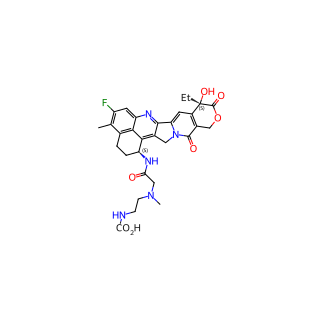 CC[C@@]1(O)C(=O)OCc2c1cc1n(c2=O)Cc2c-1nc1cc(F)c(C)c3c1c2[C@@H](NC(=O)CN(C)CCNC(=O)O)CC3